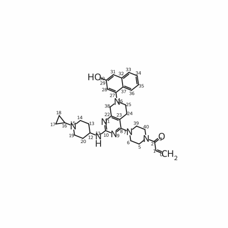 C=CC(=O)N1CCN(c2nc(NC3CCN(C4CC4)CC3)nc3c2CCN(c2cc(O)cc4ccccc24)C3)CC1